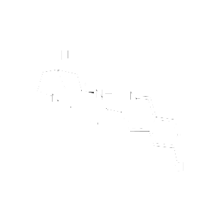 O=C(N[C@@H]1C[C@@H]2CCN(C2)C1)c1cc2cc(Cl)ccc2cn1